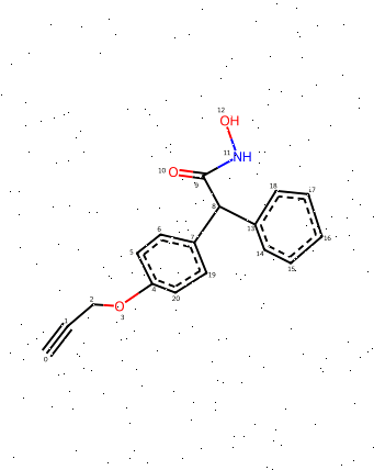 C#CCOc1ccc(C(C(=O)NO)c2ccccc2)cc1